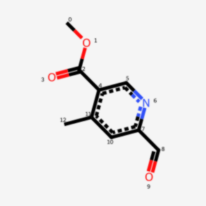 COC(=O)c1cnc(C=O)cc1C